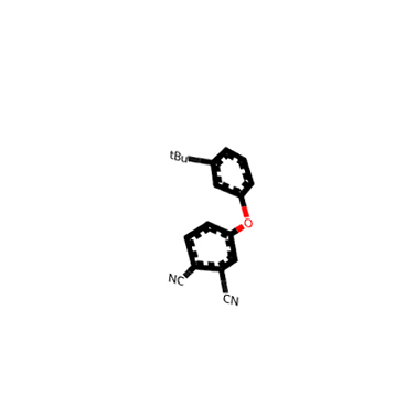 CC(C)(C)c1cccc(Oc2ccc(C#N)c(C#N)c2)c1